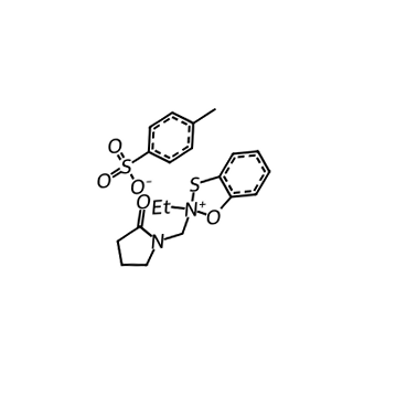 CC[N+]1(CN2CCCC2=O)Oc2ccccc2S1.Cc1ccc(S(=O)(=O)[O-])cc1